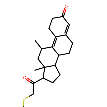 CSCC(=O)C1CCC2C3CCC4=CC(=O)CCC4=C3C(C)CC12C